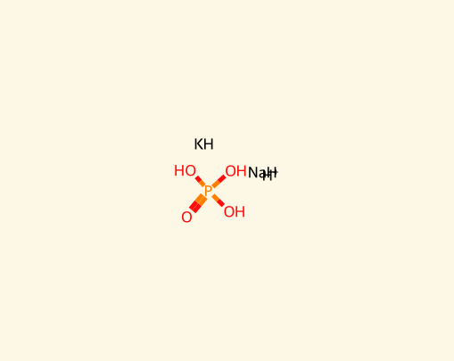 O=P(O)(O)O.[H+].[KH].[NaH]